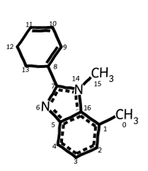 Cc1cccc2nc(C3=CC=CCC3)n(C)c12